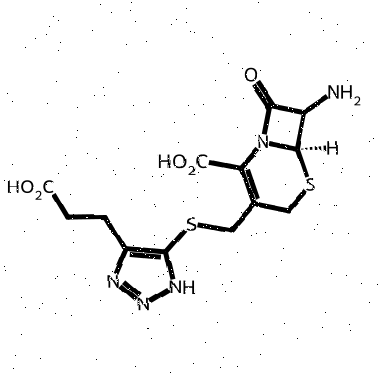 NC1C(=O)N2C(C(=O)O)=C(CSc3[nH]nnc3CCC(=O)O)CS[C@H]12